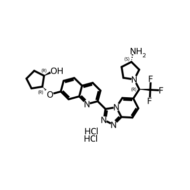 Cl.Cl.N[C@H]1CCN([C@H](c2ccc3nnc(-c4ccc5ccc(O[C@@H]6CCC[C@H]6O)cc5n4)n3c2)C(F)(F)F)C1